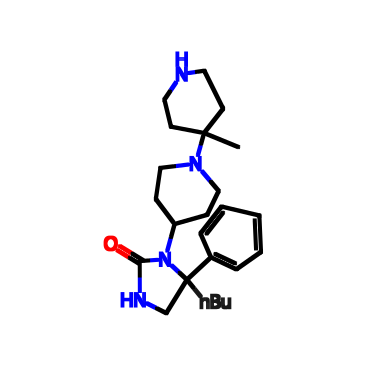 CCCCC1(c2ccccc2)CNC(=O)N1C1CCN(C2(C)CCNCC2)CC1